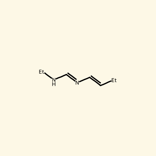 CCC=CN=CNCC